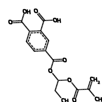 C=C(C)C(=O)OC(CC)OC(=O)c1ccc(C(=O)O)c(C(=O)O)c1